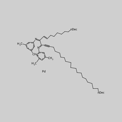 CCCCCCCCCCCCCCCCC=CC(=Nc1cc(C)cc(C)c1)C(C#CCCCCCCCCCCCCCCCCCCCCCCCCCCC)=Nc1cc(C)cc(C)c1.[Pd]